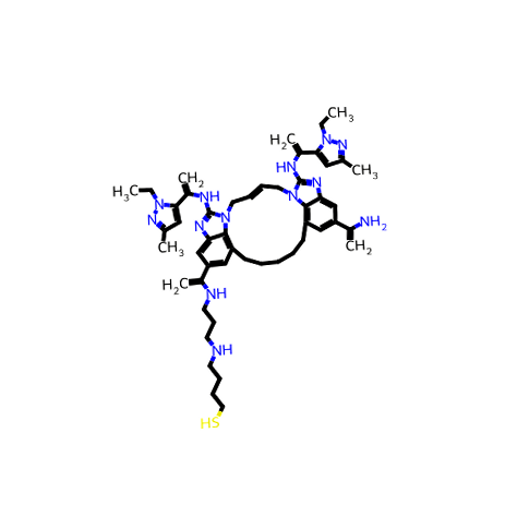 C=C(N)c1cc2c3c(c1)nc(NC(=C)c1cc(C)nn1CC)n3C/C=C/Cn1c(NC(=C)c3cc(C)nn3CC)nc3cc(C(=C)NCCCNCCCCS)cc(c31)CCCCC2